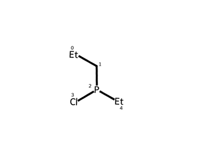 CCCP(Cl)CC